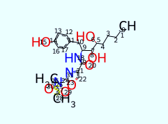 C#CCCCC(O)C(O)C(Cc1ccc(O)cc1)NC(=O)c1coc(N(C)S(C)(=O)=O)n1